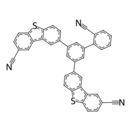 N#Cc1ccc2sc3ccc(-c4cc(-c5ccc6sc7ccc(C#N)cc7c6c5)cc(-c5ccccc5C#N)c4)cc3c2c1